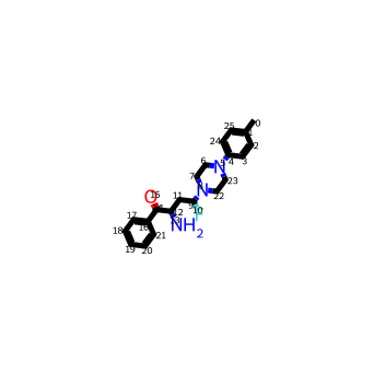 Cc1ccc(N2CCN(C(F)CC(N)C(=O)c3ccccc3)CC2)cc1